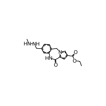 CCOC(=O)c1cc2n(c1)Cc1ccc(CNNC)cc1NC2=O